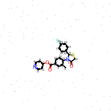 Cc1cc(C(=O)Oc2ccncc2)ccc1N1C(=O)CSC1c1ccc(F)cc1